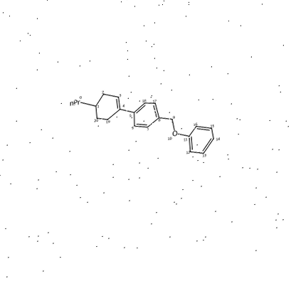 CCCC1CC=C(c2ccc(COc3ccccc3)cc2)CC1